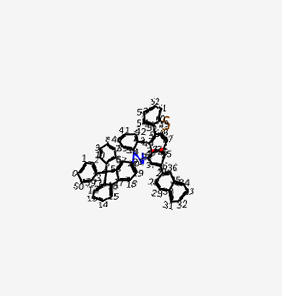 c1ccc(C2(c3ccccc3)c3ccccc3-c3ccc(N(c4cccc(-c5ccc6ccccc6c5)c4)c4ccccc4-c4cccc5sc6ccccc6c45)cc32)cc1